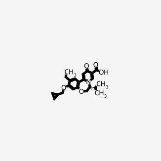 CCc1cc2c(cc1OCC1CC1)OC[C@@H](C(C)C)n1cc(C(=O)O)c(=O)cc1-2